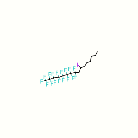 CCCCCCC(I)CC(F)(F)C(F)(F)C(F)(F)C(F)(F)C(F)(F)C(F)(F)C(F)(F)C(F)(F)F